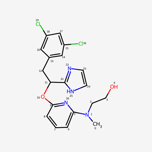 CN(CCO)c1cccc(OC(Cc2cc(Cl)cc(Cl)c2)c2ncc[nH]2)n1